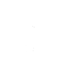 c1ccc(C2CCC(NCC3CCCCC3)CC2)cc1